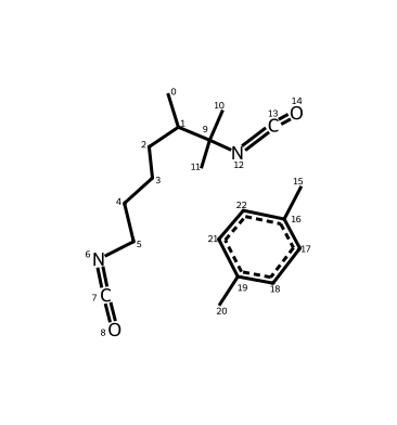 CC(CCCCN=C=O)C(C)(C)N=C=O.Cc1ccc(C)cc1